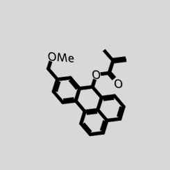 C=C(C)C(=O)OC1c2cc(COC)ccc2-c2cccc3cccc1c23